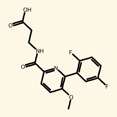 COc1ccc(C(=O)NCCC(=O)O)nc1-c1cc(F)ccc1F